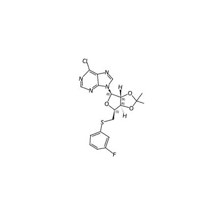 CC1(C)O[C@@H]2[C@@H](O1)[C@@H](CSc1cccc(F)c1)O[C@H]2n1cnc2c(Cl)ncnc21